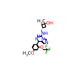 COc1ccc(-c2nnc(NC[C@H]3C[C@@](C)(O)C3)n3cncc23)c(OCC(F)(F)F)c1